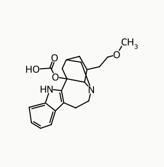 COCCC1CC2CN3CCc4c([nH]c5ccccc45)C(OC(=O)O)(C2)C13